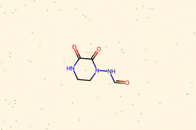 O=CNN1CCNC(=O)C1=O